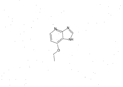 CCOc1ccnc2nc[nH]c12